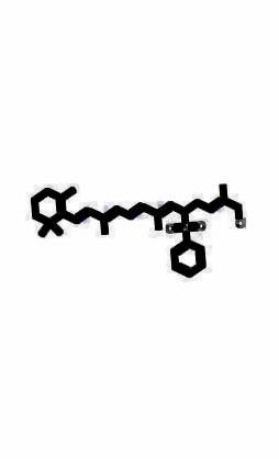 CC1=C(/C=C/C(C)=C/C=C/C(C)=C/C(C/C=C(\C)CCl)S(=O)(=O)c2ccccc2)C(C)(C)CCC1